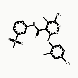 Cc1cc(C(F)(F)F)ccc1Oc1nnc(C(F)(F)F)c(C)c1C(=O)Nc1cccc(S(C)(=O)=O)c1